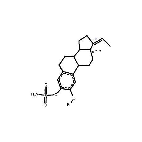 C/C=C1/CCC2C3CCc4cc(OS(N)(=O)=O)c(OCC)cc4C3CC[C@]12C